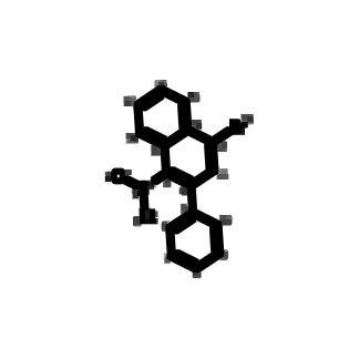 CC[S+]([O-])c1c(-c2ccccc2)cc(Br)c2ccccc12